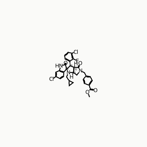 COC(=O)c1ccc(CN2C[C@H]3[C@@H](C2=O)[C@H](c2cccc(Cl)c2F)[C@]2(C(=O)Nc4cc(Cl)ccc42)N3CC2CC2)cc1